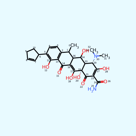 CC1c2ccc(C3C=CCC3)c(O)c2C(=O)C2=C(O)[C@]3(O)C(=O)C(C(N)=O)=C(O)[C@@H](N(C)C)C3C(O)C21